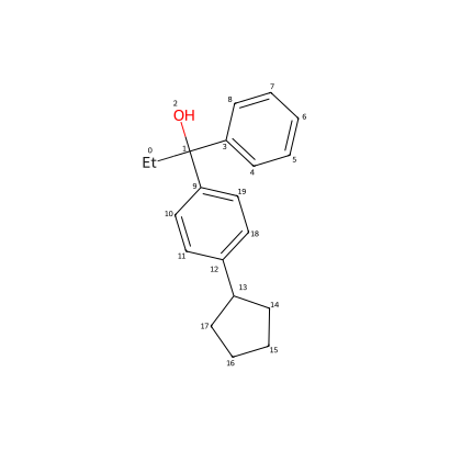 CCC(O)(c1ccccc1)c1ccc(C2CCCC2)cc1